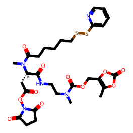 Cc1oc(=O)oc1COC(=O)N(C)CCNC(=O)[C@H](CC(=O)ON1C(=O)CCC1=O)N(C)C(=O)CCCCCSSc1ccccn1